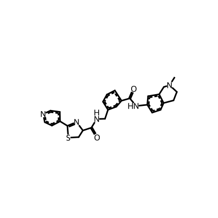 CN1CCc2ccc(NC(=O)c3cccc(CNC(=O)C4CSC(c5ccncc5)=N4)c3)cc2C1